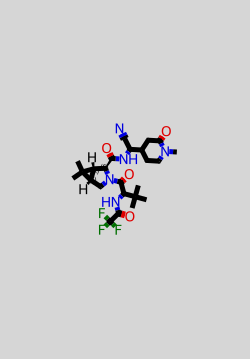 CN1CCC(C(C#N)NC(=O)[C@@H]2[C@@H]3[C@H](CN2C(=O)C(NC(=O)C(F)(F)F)C(C)(C)C)C3(C)C)CC1=O